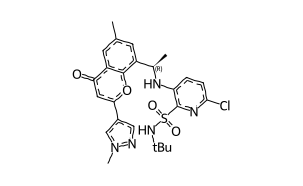 Cc1cc([C@@H](C)Nc2ccc(Cl)nc2S(=O)(=O)NC(C)(C)C)c2oc(-c3cnn(C)c3)cc(=O)c2c1